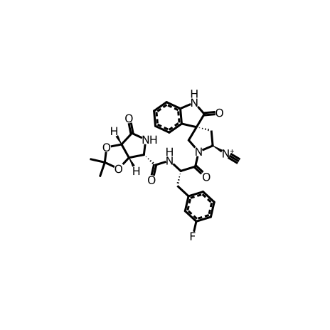 C#[N+][C@@H]1C[C@@]2(CN1C(=O)[C@H](Cc1cccc(F)c1)NC(=O)[C@H]1NC(=O)[C@H]3OC(C)(C)O[C@@H]13)C(=O)Nc1ccccc12